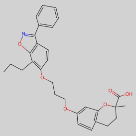 CCCc1c(OCCCOc2ccc3c(c2)OC(C)(C(=O)O)CC3)ccc2c(-c3ccccc3)noc12